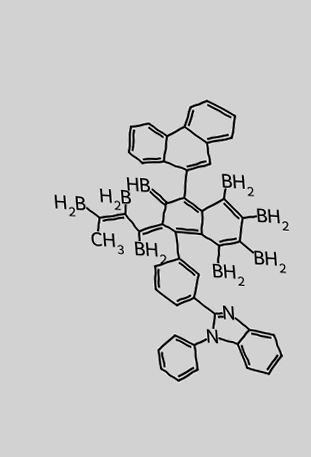 B=c1c(-c2cc3ccccc3c3ccccc23)c2c(B)c(B)c(B)c(B)c2c(-c2cccc(-c3nc4ccccc4n3-c3ccccc3)c2)/c1=C(B)/C(B)=C(/B)C